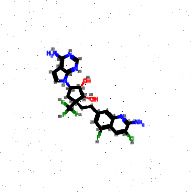 Nc1nc2cc(CC[C@@]3(C(F)(F)F)C[C@@H](n4ccc5c(N)ncnc54)[C@H](O)[C@@H]3O)cc(F)c2cc1Cl